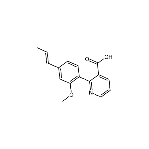 CC=Cc1ccc(-c2ncccc2C(=O)O)c(OC)c1